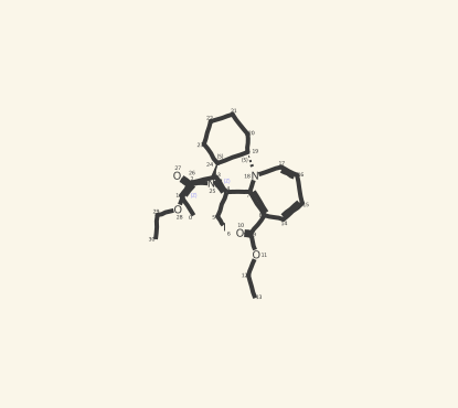 C/C=C\C=C(/CI)C1=C(C(=O)OCC)C=CC=CN1[C@H]1CCCC[C@@H]1NC(=O)OCC